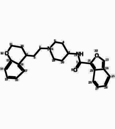 O=C(NC1CCN(CCC2CCOc3ccccc32)CC1)c1occ2ccccc12